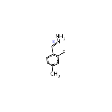 Cc1ccc(/C=N/N)c(F)c1